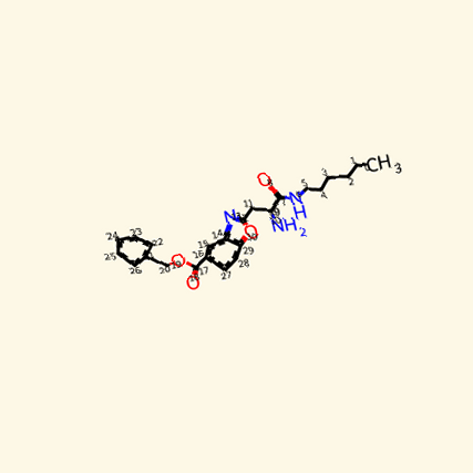 CCCCCCNC(=O)[C@@H](N)Cc1nc2cc(C(=O)OCc3ccccc3)ccc2o1